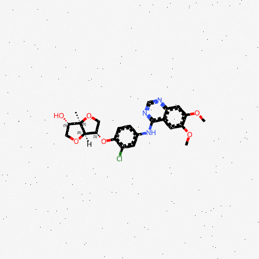 COc1cc2ncnc(Nc3ccc(O[C@H]4CO[C@@]5(C)[C@@H]4OC[C@@H]5O)c(Cl)c3)c2cc1OC